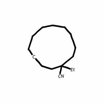 CCC1(C#N)CCCCCCCCCCC1